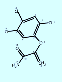 C=C(Oc1cc(Cl)c(Cl)cc1Cl)C(N)=O